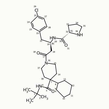 CC(C)(C)NC(=O)C1(C2CCCCC2)CCN(C(=O)C[C@@H](Cc2ccc(Cl)cc2)NC(=O)[C@@H]2CCCN2)CC1